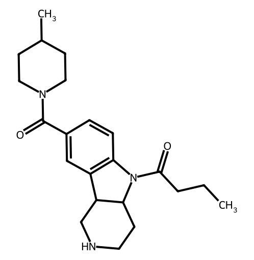 CCCC(=O)N1c2ccc(C(=O)N3CCC(C)CC3)cc2C2CNCCC21